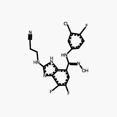 N#CCCNc1nc2c(F)c(F)cc(/C(=N\O)Nc3ccc(F)c(Cl)c3)c2[nH]1